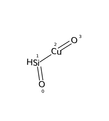 O=[SiH][Cu]=[O]